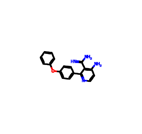 N=C(N)c1c(N)ccnc1-c1ccc(Oc2ccccc2)cc1